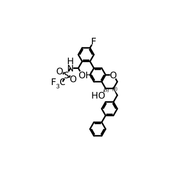 O=S(=O)(NC(O)c1ccc(F)cc1-c1ccc2c(c1)OC[C@@H](Cc1ccc(-c3ccccc3)cc1)[C@@H]2O)C(F)(F)F